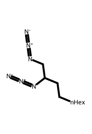 CCCCCCCCC(CN=[N+]=[N-])N=[N+]=[N-]